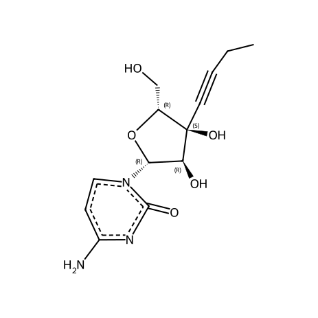 CCC#C[C@@]1(O)[C@@H](CO)O[C@@H](n2ccc(N)nc2=O)[C@@H]1O